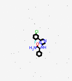 NC(=O)[C@@H](Nc1cncc(-c2cc(Cl)ccc2F)n1)c1ccccc1